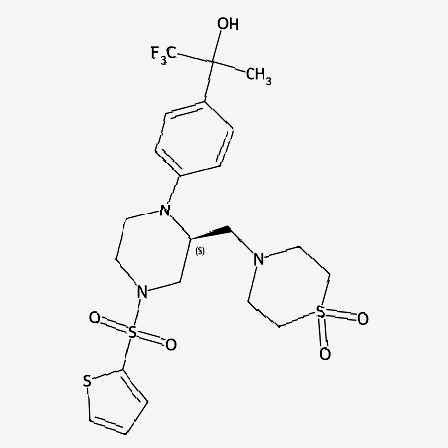 CC(O)(c1ccc(N2CCN(S(=O)(=O)c3cccs3)C[C@@H]2CN2CCS(=O)(=O)CC2)cc1)C(F)(F)F